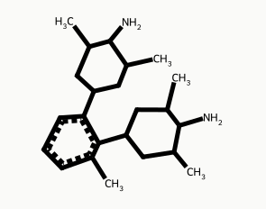 Cc1cccc(C2CC(C)C(N)C(C)C2)c1C1CC(C)C(N)C(C)C1